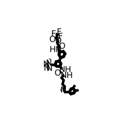 Cc1ccc(CN(C)CCCCNC(=O)Nc2cc(-c3cccc(NC(=O)COC(=O)C(F)(F)F)c3)cc(-c3nnnn3C)c2)cc1C